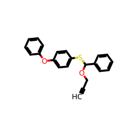 C#CCOC(Sc1ccc(Oc2ccccc2)cc1)c1ccccc1